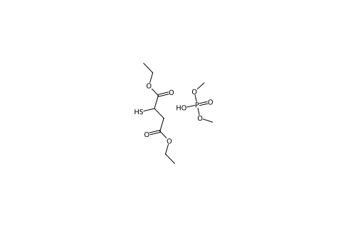 CCOC(=O)CC(S)C(=O)OCC.COP(=O)(O)OC